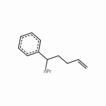 C=CCCC(CCC)c1ccccc1